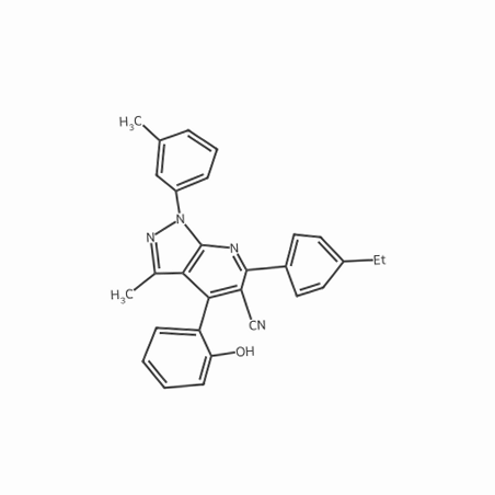 CCc1ccc(-c2nc3c(c(C)nn3-c3cccc(C)c3)c(-c3ccccc3O)c2C#N)cc1